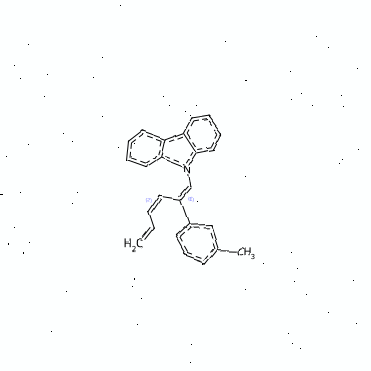 C=C/C=C\C(=C/n1c2ccccc2c2ccccc21)c1cccc(C)c1